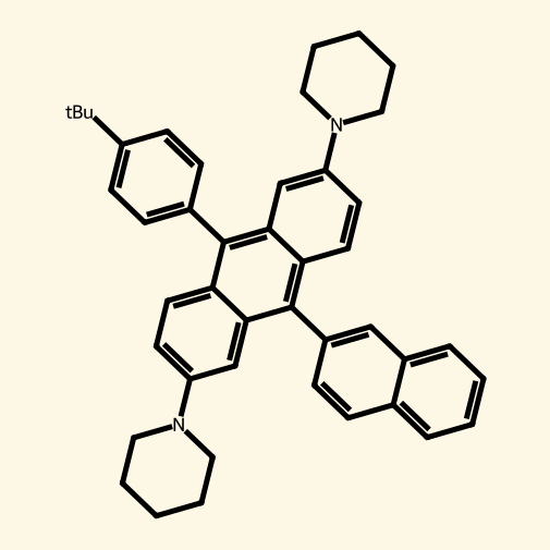 CC(C)(C)c1ccc(-c2c3ccc(N4CCCCC4)cc3c(-c3ccc4ccccc4c3)c3ccc(N4CCCCC4)cc23)cc1